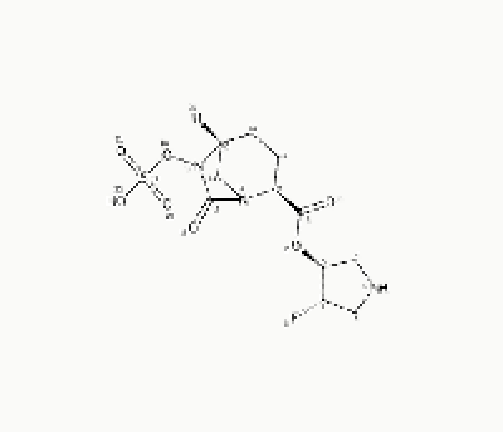 O=C(O[C@H]1CNC[C@@H]1F)[C@@H]1CC[C@@H]2CN1C(=O)N2OS(=O)(=O)O